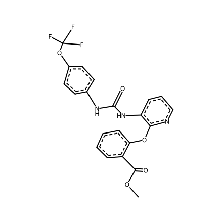 COC(=O)c1ccccc1Oc1ncccc1NC(=O)Nc1ccc(OC(F)(F)F)cc1